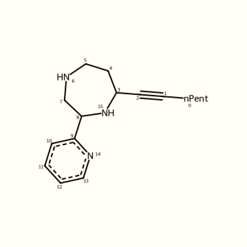 CCCCCC#CC1CCNCC(c2ccccn2)N1